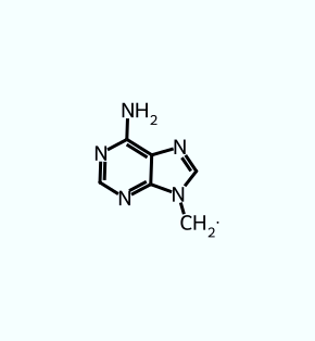 [CH2]n1cnc2c(N)ncnc21